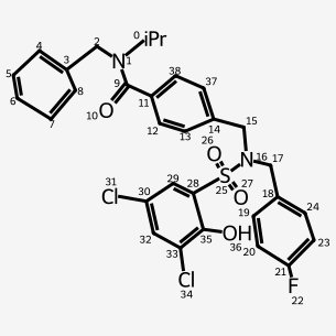 CC(C)N(Cc1ccccc1)C(=O)c1ccc(CN(Cc2ccc(F)cc2)S(=O)(=O)c2cc(Cl)cc(Cl)c2O)cc1